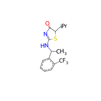 CC(NC1=NC(=O)C(C(C)C)S1)c1ccccc1C(F)(F)F